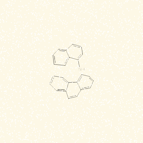 Nc1cccc2ccccc12.c1ccc2c(c1)ccc1ccccc12